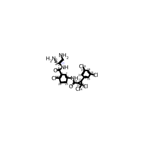 N/C=C(/NC(=O)c1cc(NC(=O)C2C(c3cc(Cl)cc(Cl)c3)C2(Cl)Cl)ccc1Cl)SN